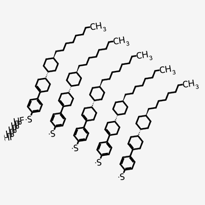 CCCCCCCC[C@H]1CC[C@H](C2CC=C(c3ccc([S])cc3)CC2)CC1.CCCCCCCC[C@H]1CC[C@H](C2CC=C(c3ccc([S])cc3)CC2)CC1.CCCCCCCC[C@H]1CC[C@H](C2CC=C(c3ccc([S])cc3)CC2)CC1.CCCCCCCC[C@H]1CC[C@H](C2CC=C(c3ccc([S])cc3)CC2)CC1.CCCCCCCC[C@H]1CC[C@H](C2CC=C(c3ccc([S])cc3)CC2)CC1.F.F.F.F.F